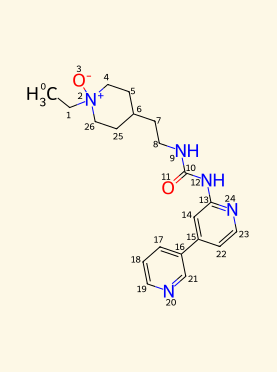 CC[N+]1([O-])CCC(CCNC(=O)Nc2cc(-c3cccnc3)ccn2)CC1